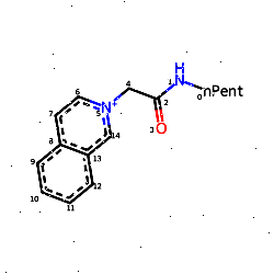 CCCCCNC(=O)C[n+]1ccc2ccccc2c1